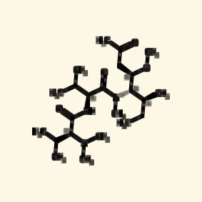 CC[C@H](C)[C@@H]([C@@H](CC(C)=O)OC)N(C)C(=O)[C@@H](NC(=O)[C@H](C(C)C)N(C)C)C(C)C